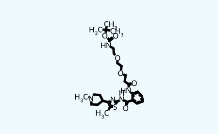 Cc1sc(NC(=O)c2ccccc2NC(=O)CCOCCOCCNC(=O)OC(C)(C)C)nc1C1CCN(C)CC1